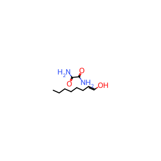 CCCCCC/C=C/O.NC(=O)C(N)=O